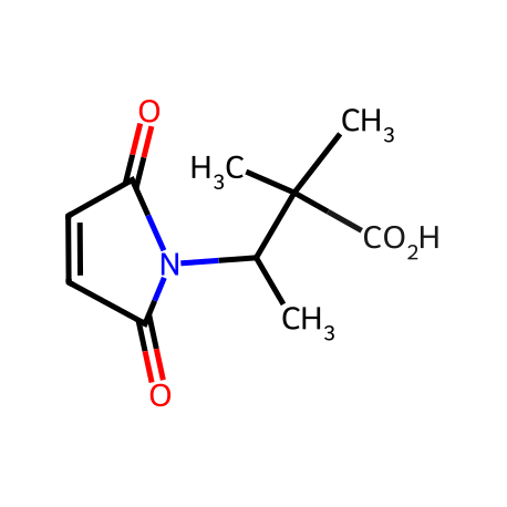 CC(N1C(=O)C=CC1=O)C(C)(C)C(=O)O